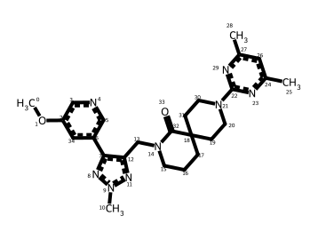 COc1cncc(-c2nn(C)nc2CN2CCCC3(CCN(c4nc(C)cc(C)n4)CC3)C2=O)c1